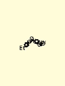 CCc1ccc(OCC(=O)N2CCC(NS(C)(=O)=O)CC2)cc1